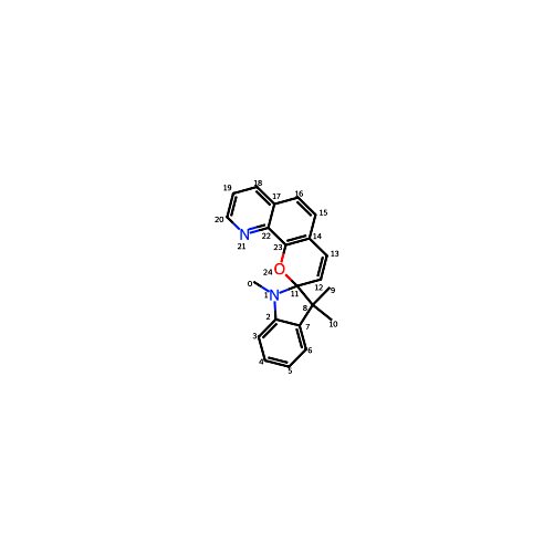 CN1c2ccccc2C(C)(C)C12C=Cc1ccc3cccnc3c1O2